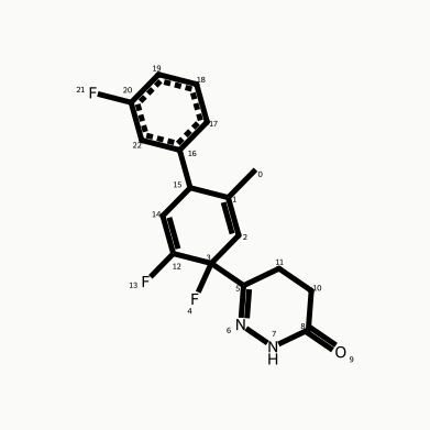 CC1=CC(F)(C2=NNC(=O)CC2)C(F)=CC1c1cccc(F)c1